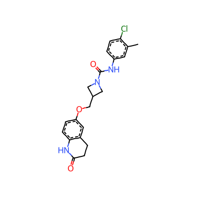 Cc1cc(NC(=O)N2CC(COc3ccc4c(c3)CCC(=O)N4)C2)ccc1Cl